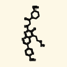 CCCOCCn1c(=O)c(NCC(=O)N2CCC[C@H](OC)C2)nc2ncc(-c3ccc(OC)nc3)cc21